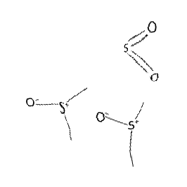 C[S+](C)[O-].C[S+](C)[O-].O=S=O